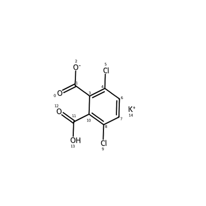 O=C([O-])c1c(Cl)ccc(Cl)c1C(=O)O.[K+]